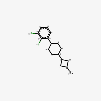 CCC1CC(C2CCC(c3cccc(F)c3F)CC2)C1